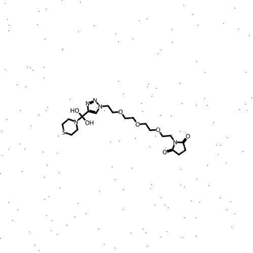 O=C1CCC(=O)N1CCOCCOCCOCCn1cc(C(O)(O)N2CCSCC2)nn1